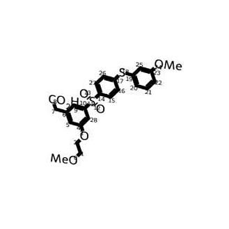 COCCOc1cc(CC(=O)O)cc(S(=O)(=O)c2ccc(Sc3cccc(OC)c3)cc2)c1